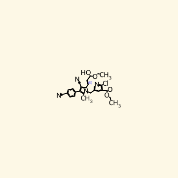 CCOC(=O)c1cc(Cn2c(C)c(-c3ccc(C#N)cc3)c(C#N)c2/C=C/C(O)OCC)cnc1Cl